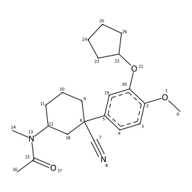 COc1ccc(C2(C#N)CCCC(N(C)C(C)=O)C2)cc1OC1CCCC1